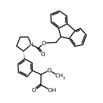 COC(C(=O)O)c1cccc([C@@H]2CCCN2C(=O)OCC2c3ccccc3-c3ccccc32)c1